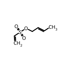 C=CS(=O)(=O)OCC=CC